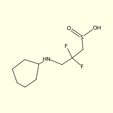 O=S(O)CC(F)(F)CNC1CCCCC1